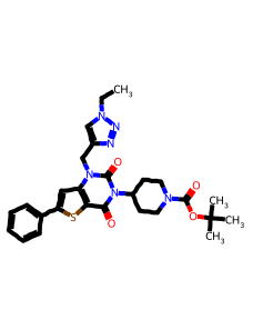 CCn1cc(Cn2c(=O)n(C3CCN(C(=O)OC(C)(C)C)CC3)c(=O)c3sc(-c4ccccc4)cc32)nn1